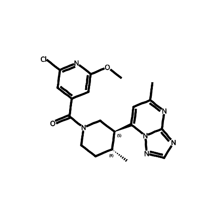 COc1cc(C(=O)N2CC[C@@H](C)[C@H](c3cc(C)nc4ncnn34)C2)cc(Cl)n1